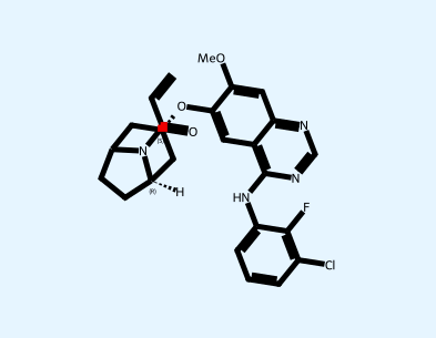 C=CC(=O)N1C2CC[C@@H]1C[C@@H](Oc1cc3c(Nc4cccc(Cl)c4F)ncnc3cc1OC)C2